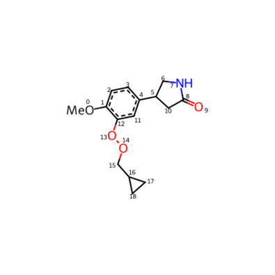 COc1ccc(C2CNC(=O)C2)cc1OOCC1CC1